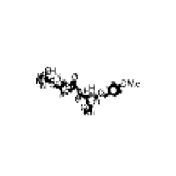 COc1ccc(COC(=O)NC(C(=O)N[C@@H]2C(=O)N3C(C(=O)O)=C(CSc4nnnn4C)CSC23)c2ccco2)cc1